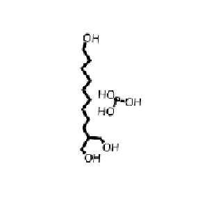 OCCCCCCCCCC(CO)CO.OP(O)O